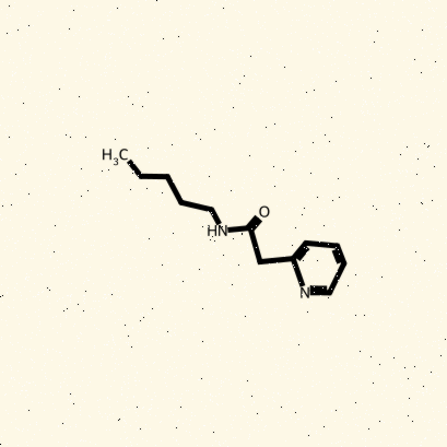 CCCCCNC(=O)Cc1ccccn1